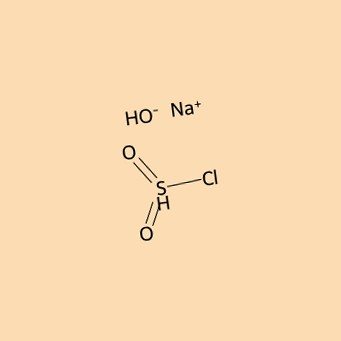 O=[SH](=O)Cl.[Na+].[OH-]